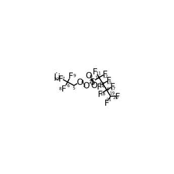 O=S(=O)(OOCC(F)(F)F)C(F)(F)C(F)(F)C(F)(F)C(F)F.[Li]